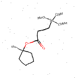 CO[Si](CCC(=O)OC1(C(C)(C)C)CCCC1)(OC)OC